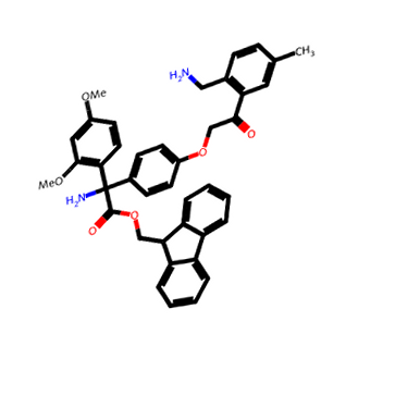 COc1ccc(C(N)(C(=O)OCC2c3ccccc3-c3ccccc32)c2ccc(OCC(=O)c3cc(C)ccc3CN)cc2)c(OC)c1